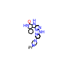 CC(C)N1CCN(c2ccc(Nc3ncc4c(n3)C3C(N4)C(=O)NCC34CCCCC4)nc2)CC1